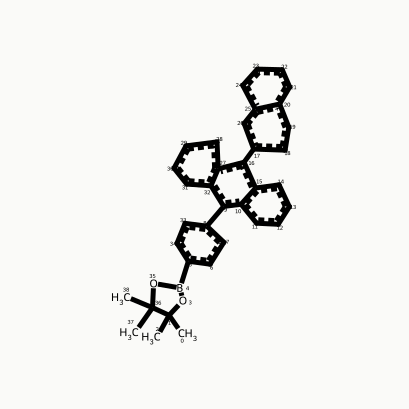 CC1(C)OB(c2ccc(-c3c4ccccc4c(-c4ccc5ccccc5c4)c4ccccc34)cc2)OC1(C)C